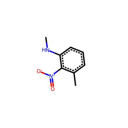 CNc1cccc(C)c1[N+](=O)[O-]